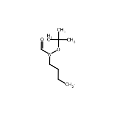 [CH2]CCCN(C=O)OC(C)(C)C